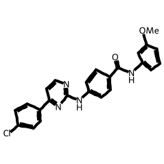 COc1cccc(NC(=O)c2ccc(Nc3nccc(-c4ccc(Cl)cc4)n3)cc2)c1